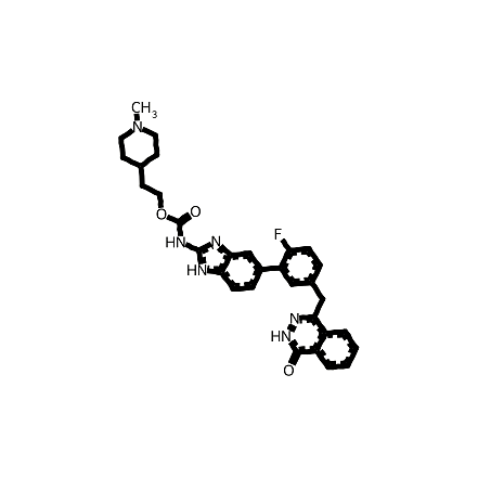 CN1CCC(CCOC(=O)Nc2nc3cc(-c4cc(Cc5n[nH]c(=O)c6ccccc56)ccc4F)ccc3[nH]2)CC1